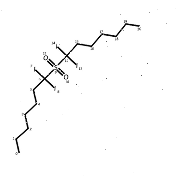 CCCCCCC(I)(I)S(=O)(=O)C(I)(I)CCCCCC